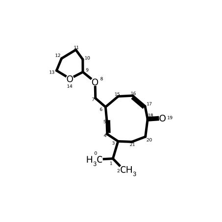 CC(C)C1C=CC(COC2CCCCO2)CC=CC(=O)CC1